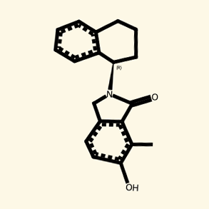 Cc1c(O)ccc2c1C(=O)N([C@@H]1CCCc3ccccc31)C2